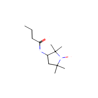 CCCC(=O)NC1CC(C)(C)N(O)C1(C)C